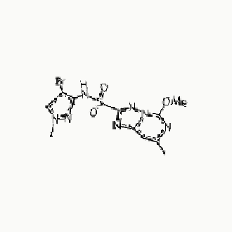 COc1nc(C)cc2nc(S(=O)(=O)Nc3nn(C)cc3Br)nn12